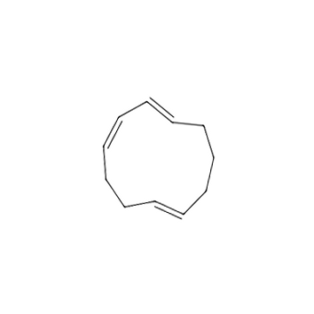 C1=C\CC/C=C/CCC/C=C/1